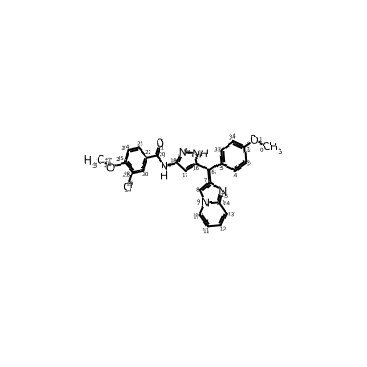 COc1ccc(C(c2cn3ccccc3n2)c2cc(NC(=O)c3ccc(OC)c(Cl)c3)n[nH]2)cc1